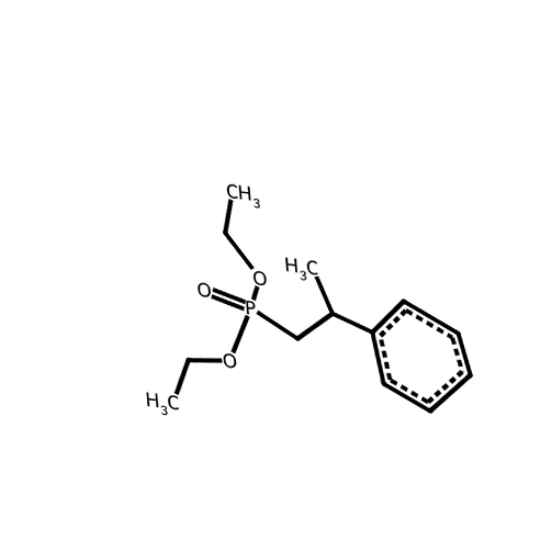 CCOP(=O)(CC(C)c1ccccc1)OCC